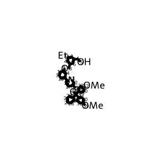 CCc1cc(CO)cc(COc2cccc(-c3ccc(COC(c4ccccc4)(c4ccc(OC)cc4)c4ccc(OC)cc4)cn3)c2)c1